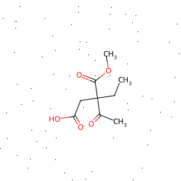 CCC(CC(=O)O)(C(C)=O)C(=O)OC